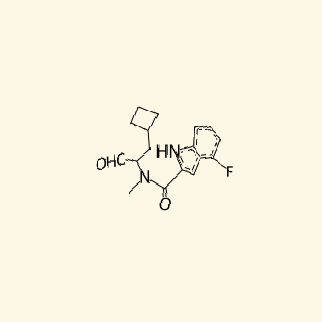 CN(C(=O)c1cc2c(F)cccc2[nH]1)C(C=O)CC1CCC1